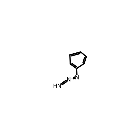 N=[N+]=Nc1ccccc1